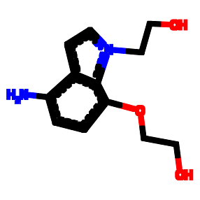 Nc1ccc(OCCO)c2c1ccn2CCO